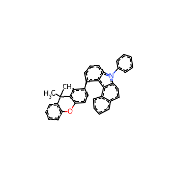 CC1(C)c2ccccc2Oc2ccc(-c3cccc4c3c3c5ccccc5ccc3n4-c3ccccc3)cc21